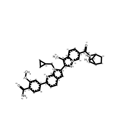 COc1cc(-c2ccc3cc(-c4nn5cc(C(=O)N6CC7CCC6[C@@H]7N)ccc5c4C)n(CC4CC4)c3n2)ccc1C(N)=O